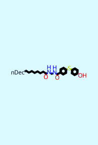 CCCCCCCCCCCCCCCCCC(=O)NCNC(=O)c1ccc(Sc2ccc(O)cc2)cc1